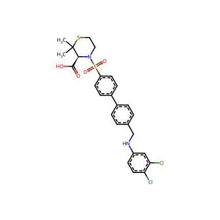 CC1(C)SCCN(S(=O)(=O)c2ccc(-c3ccc(CNc4ccc(Cl)c(Cl)c4)cc3)cc2)[C@H]1C(=O)O